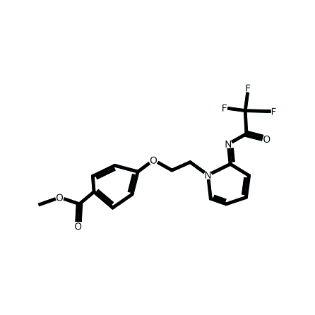 COC(=O)c1ccc(OCCn2ccccc2=NC(=O)C(F)(F)F)cc1